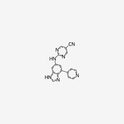 N#Cc1cnc(Nc2cc(-c3ccncc3)c3nc[nH]c3c2)nc1